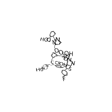 O=C(O)[C@H]1Cc2cc(ccc2OCc2ccnc(-c3ccccc3OO)n2)CCC(CCN2CCN(O)CC2)c2ccc(c(O)c2Cl)-c2c(-c3ccc(F)cc3)sc3ncnc(c23)O1